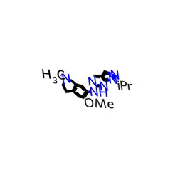 COc1cc2c(cc1Nc1ncc3cnn(C(C)C)c3n1)CN(C)CC2